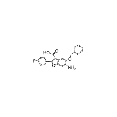 Nc1cc2oc(-c3ccc(F)cc3)c(C(=O)O)c2cc1OCc1ccccc1